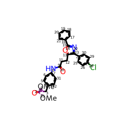 COP(=O)(Cc1ccc(NC(=O)CCc2oc(-c3ccccc3)nc2-c2ccc(Cl)cc2)cc1)OC